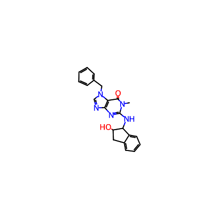 Cn1c(NC2c3ccccc3CC2O)nc2ncn(Cc3ccccc3)c2c1=O